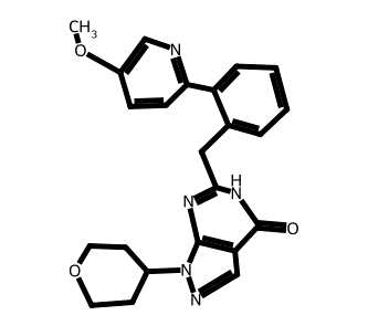 COc1ccc(-c2ccccc2Cc2nc3c(cnn3C3CCOCC3)c(=O)[nH]2)nc1